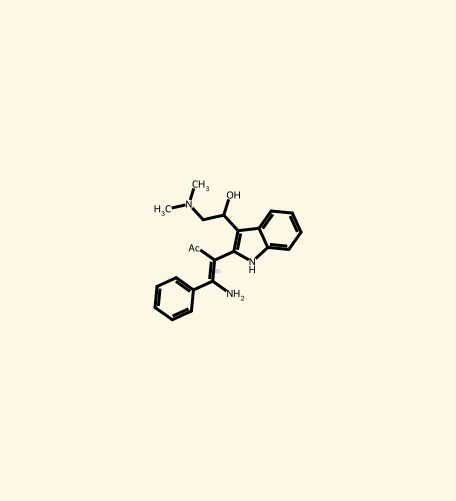 CC(=O)/C(=C(/N)c1ccccc1)c1[nH]c2ccccc2c1C(O)CN(C)C